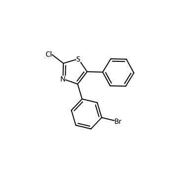 Clc1nc(-c2cccc(Br)c2)c(-c2ccccc2)s1